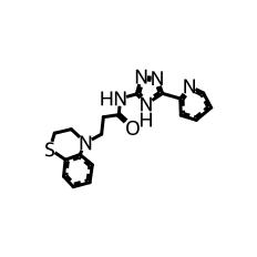 O=C(CCN1CCSc2ccccc21)Nc1nnc(-c2ccccn2)[nH]1